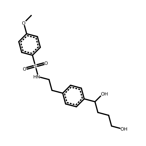 COc1ccc(S(=O)(=O)NCCc2ccc(C(O)CCCO)cc2)cc1